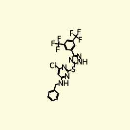 FC(F)(F)c1cc(-c2n[nH]c(Sc3nc(Cl)cc(NCc4ccccc4)n3)n2)cc(C(F)(F)F)c1